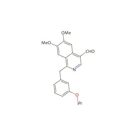 COc1cc2c(C=O)cnc(Cc3cccc(OC(C)C)c3)c2cc1OC